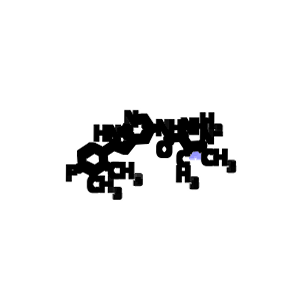 CC1=C(F)C=CC(c2cc3cc(NC(=O)C(=N)/C(C)=C(/C)N)cnc3[nH]2)C1C